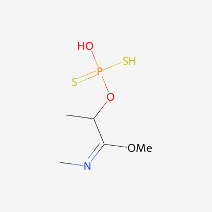 CN=C(OC)C(C)OP(O)(=S)S